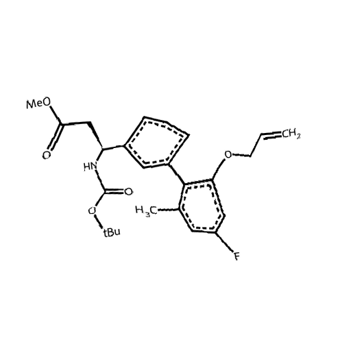 C=CCOc1cc(F)cc(C)c1-c1cccc([C@H](CC(=O)OC)NC(=O)OC(C)(C)C)c1